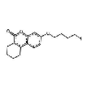 O=c1oc2cc(OCCCCI)ccc2c2c1CCCC2